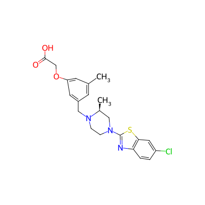 Cc1cc(CN2CCN(c3nc4ccc(Cl)cc4s3)C[C@@H]2C)cc(OCC(=O)O)c1